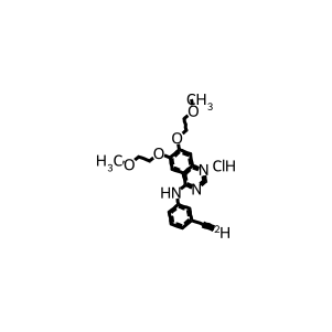 Cl.[2H]C#Cc1cccc(Nc2ncnc3cc(OCCOC)c(OCCOC)cc23)c1